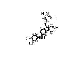 N=C(N)NCCn1c2c(c3cc(Nc4ccc(Cl)c(Cl)c4)ccc31)CCNC2